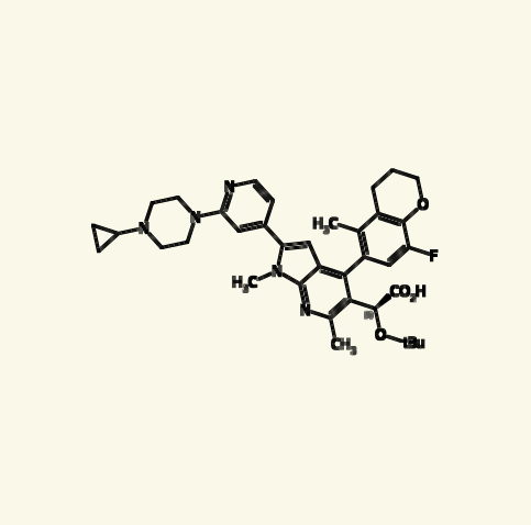 Cc1nc2c(cc(-c3ccnc(N4CCN(C5CC5)CC4)c3)n2C)c(-c2cc(F)c3c(c2C)CCCO3)c1[C@H](OC(C)(C)C)C(=O)O